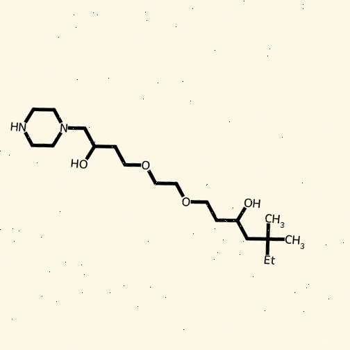 CCC(C)(C)CC(O)CCOCCOCCC(O)CN1CCNCC1